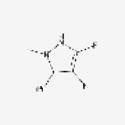 CC(C)C1C(F)=C(F)NN1C